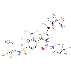 CC[C@H](NS(=O)(=O)c1ccc(-c2sc(-c3nnc(C(C)(C)O)o3)nc2C(O)N2CCC(F)(F)CC2)c(C(F)F)c1F)C(F)(F)F